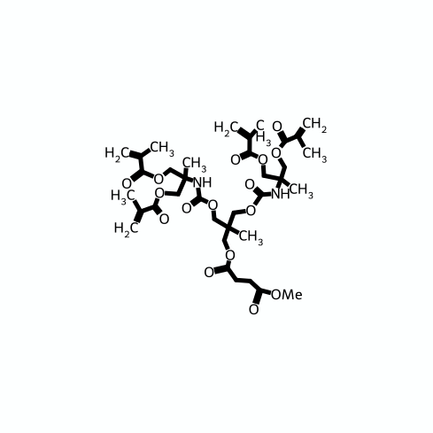 C=C(C)C(=O)OCC(C)(COC(=O)C(=C)C)NC(=O)OCC(C)(COC(=O)CCC(=O)OC)COC(=O)NC(C)(COC(=O)C(=C)C)COC(=O)C(=C)C